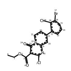 CCOC(=O)c1c(Cl)nc2cc(-c3cccc(Br)c3Cl)ccn2c1=O